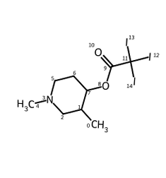 CC1CN(C)CCC1OC(=O)C(I)(I)I